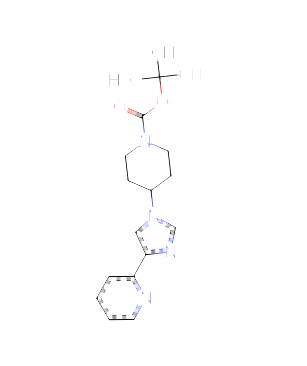 CC(C)(C)OC(=O)N1CCC(n2cnc(-c3ccccn3)c2)CC1